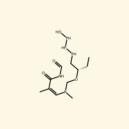 CC[C@@H](CPPPO)OCN(C)/C=C(/C)C(=O)NC=O